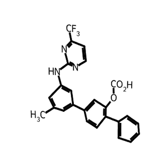 Cc1cc(Nc2nccc(C(F)(F)F)n2)cc(-c2ccc(-c3ccccc3)c(OC(=O)O)c2)c1